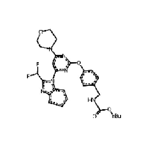 CCCCOC(=O)NCc1ccc(Oc2nc(N3CCOCC3)cc(-n3c(C(F)F)nc4ccccc43)n2)cc1